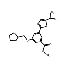 COC(=O)c1cc(OCC2CCCO2)cc(-c2ncc(C(C)C)s2)c1